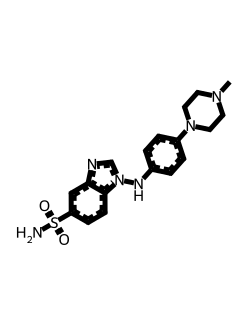 CN1CCN(c2ccc(Nn3cnc4cc(S(N)(=O)=O)ccc43)cc2)CC1